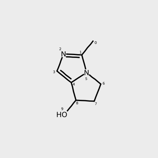 Cc1ncc2n1CCC2O